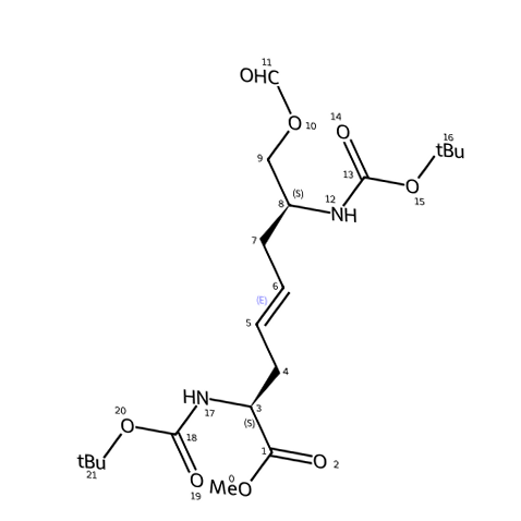 COC(=O)[C@H](C/C=C/C[C@@H](COC=O)NC(=O)OC(C)(C)C)NC(=O)OC(C)(C)C